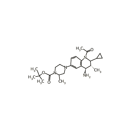 CC(=O)N1c2ccc(N3CCN(C(=O)OC(C)(C)C)C(C)C3)cc2[C@H](N)[C@@H](C)C1C1CC1